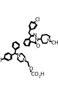 CN1CCCC(n2nc(Cc3ccc(Cl)cc3)c3ccccc3c2=O)CC1.O=C(O)COCCN1CCN(C(c2ccccc2)c2ccc(Cl)cc2)CC1